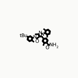 Cc1cc(-c2c3c(nn2-c2c(C)cccc2C)CN(c2cc(C(C)(C)C)ccc2C)C3=O)ccc1C(N)=O